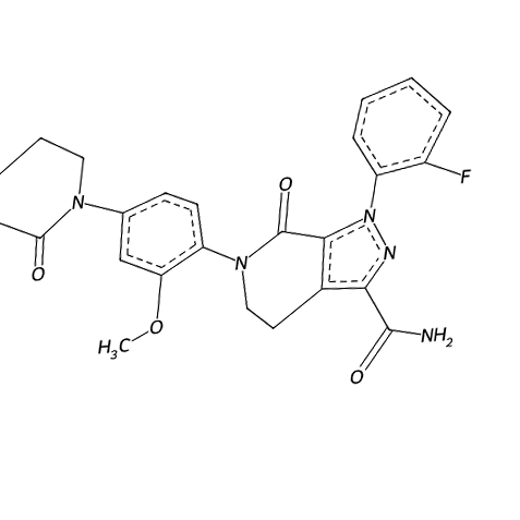 COc1cc(N2CCCCC2=O)ccc1N1CCc2c(C(N)=O)nn(-c3ccccc3F)c2C1=O